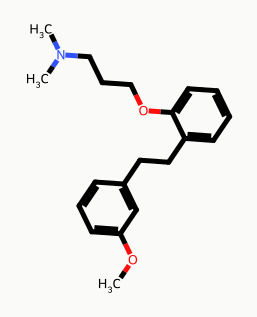 COc1cccc(CCc2ccccc2OCCCN(C)C)c1